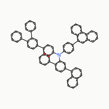 c1ccc(-c2ccc(-c3ccc(N(c4ccc(-c5cc6ccccc6c6ccccc56)cc4)c4cc(-c5cccc6ccccc56)ccc4-c4ccccc4)cc3)cc2-c2ccccc2)cc1